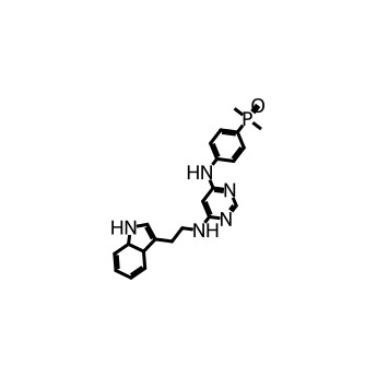 CP(C)(=O)c1ccc(Nc2cc(NCCC3=CNC4C=CC=CC34)ncn2)cc1